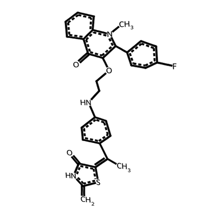 C=c1[nH]c(=O)/c(=C(/C)c2ccc(NCCOc3c(-c4ccc(F)cc4)n(C)c4ccccc4c3=O)cc2)s1